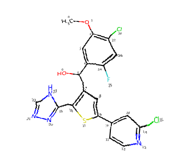 COc1cc(C(O)c2cc(-c3ccnc(Cl)c3)sc2-c2nnc[nH]2)c(F)cc1Cl